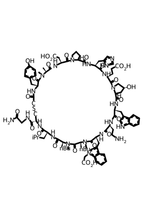 CCCC[C@H]1C(=O)N(C)[C@@H](CCCC)C(=O)N[C@@H](CC(C)C)C(=O)N[C@H](C(=O)NCC(N)=O)CSCC(=O)N[C@@H](Cc2ccc(O)cc2)C(=O)N(C)[C@@H](C)C(=O)N[C@@H](CC(=O)O)C(=O)N2CCC[C@H]2C(=O)N[C@@H](Cc2cnc[nH]2)C(=O)N[C@@H](CCC(=O)O)C(=O)N2C[C@H](O)C[C@H]2C(=O)N[C@@H](Cc2c[nH]c3ccccc23)C(=O)N[C@@H](CCN)C(=O)N[C@@H](Cc2cn(CC(=O)O)c3ccccc23)C(=O)N1C